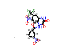 O=C(Nn1c(=O)c(=O)[nH]c2cc(C(F)(F)F)c([N+](=O)[O-])cc21)c1cccc([N+](=O)[O-])c1